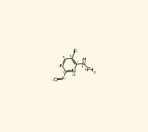 O=Pc1ncc(F)c(NP)n1